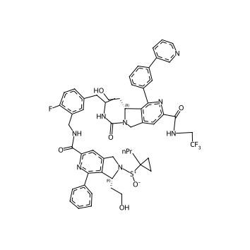 CCCC1([S+]([O-])N2Cc3cc(C(=O)NCc4cc(CC(C)NC(=O)N5Cc6cc(C(=O)NCC(F)(F)F)nc(-c7cccc(-c8cccnc8)c7)c6[C@H]5CCO)ccc4F)nc(-c4ccccc4)c3[C@H]2CCO)CC1